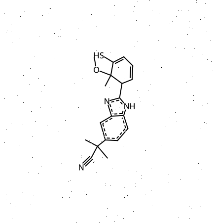 COC1(C)C(S)=CC=CC1c1nc2cc(C(C)(C)C#N)ccc2[nH]1